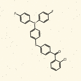 O=C(c1ccc(Sc2ccc([S+](c3ccc(F)cc3)c3ccc(F)cc3)cc2)cc1)c1ccccc1Cl